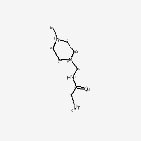 CC(C)CC(=O)NCN1CCN(C)CC1